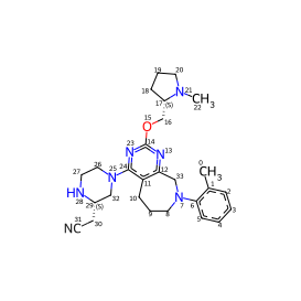 Cc1ccccc1N1CCCc2c(nc(OC[C@@H]3CCCN3C)nc2N2CCN[C@@H](CC#N)C2)C1